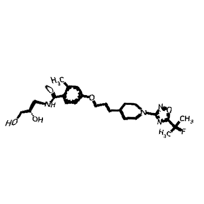 Cc1cc(OCCCC2CCN(c3noc(C(C)(C)F)n3)CC2)ccc1C(=O)NC[C@H](O)CO